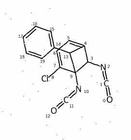 O=C=NC1C2=CC=C(Cl)C1(N=C=O)C2c1ccccc1